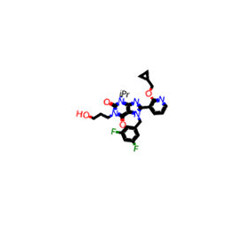 CC(C)n1c(=O)n(CCCO)c(=O)c2c1nc(-c1cccnc1OCC1CC1)n2Cc1cc(F)cc(F)c1